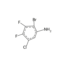 Nc1cc(Cl)c(F)c(F)c1Br